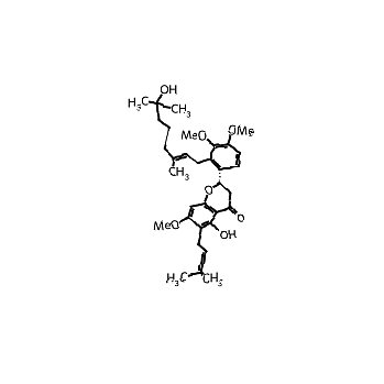 COc1cc2c(c(O)c1CC=C(C)C)C(=O)C[C@@H](c1ccc(OC)c(OC)c1C/C=C(\C)CCCC(C)(C)O)O2